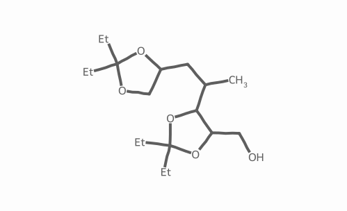 CCC1(CC)OCC(CC(C)C2OC(CC)(CC)OC2CO)O1